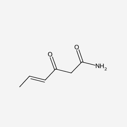 CC=CC(=O)CC(N)=O